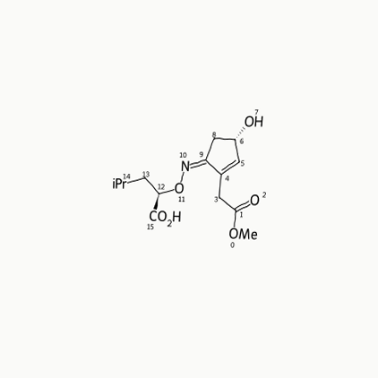 COC(=O)CC1=C[C@@H](O)C/C1=N/O[C@H](CC(C)C)C(=O)O